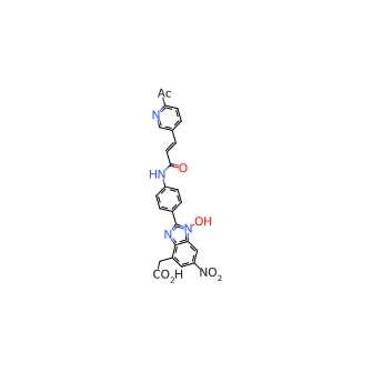 CC(=O)c1ccc(C=CC(=O)Nc2ccc(-c3nc4c(CC(=O)O)cc([N+](=O)[O-])cc4n3O)cc2)cn1